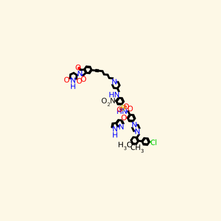 CC1(C)CCC(CN2CCN(c3ccc(C(=O)NS(=O)(=O)c4ccc(NCC5CCN(CCCCCC#Cc6ccc7c(c6)C(=O)N(C6CCC(=O)NC6=O)C7=O)CC5)c([N+](=O)[O-])c4)c(Oc4cnc5[nH]ccc5c4)c3)CC2)=C(c2ccc(Cl)cc2)C1